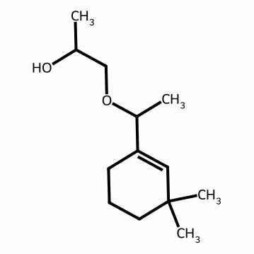 CC(O)COC(C)C1=CC(C)(C)CCC1